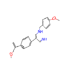 C=C(COC)c1ccc(/C(C=N)=C/NCc2ccc(OC)cc2)cc1